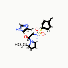 Cc1ccc(S(=O)(=O)N[C@@H](Cc2c[nH]cn2)C(=O)N2CCC[C@H]2C(=O)O)cc1